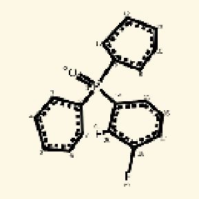 O=P(c1ccccc1)(c1ccccc1)c1cccc(F)c1F